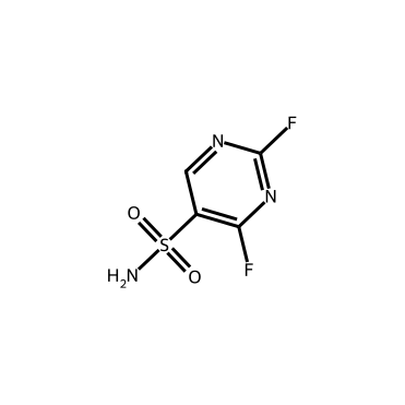 NS(=O)(=O)c1cnc(F)nc1F